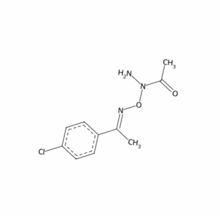 CC(=O)N(N)ON=C(C)c1ccc(Cl)cc1